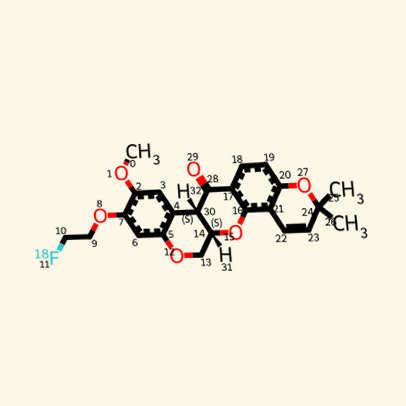 COc1cc2c(cc1OCC[18F])OC[C@H]1Oc3c(ccc4c3C=CC(C)(C)O4)C(=O)[C@@H]21